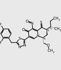 CC[C@H](C)[C@H]1C[C@H](COC)n2cc(-c3nnc(Cc4ccc(F)cc4F)s3)c(=O)c(N=O)c2C1=S